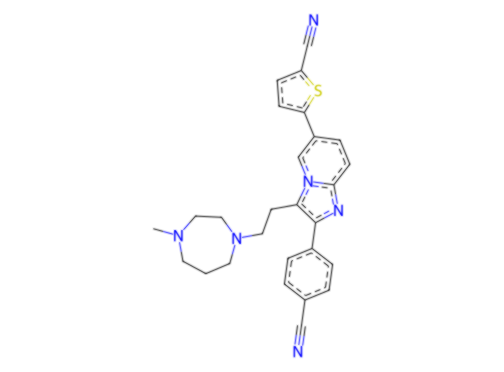 CN1CCCN(CCc2c(-c3ccc(C#N)cc3)nc3ccc(-c4ccc(C#N)s4)cn23)CC1